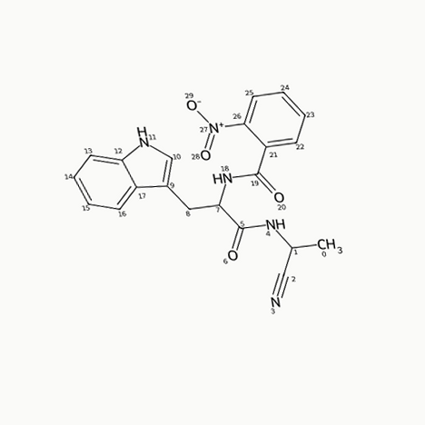 CC(C#N)NC(=O)C(Cc1c[nH]c2ccccc12)NC(=O)c1ccccc1[N+](=O)[O-]